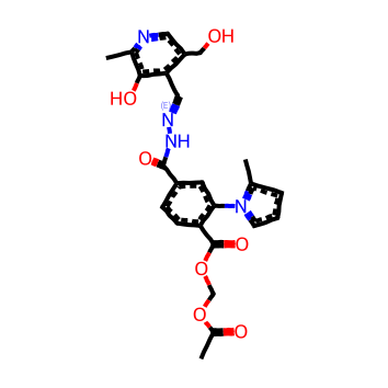 CC(=O)OCOC(=O)c1ccc(C(=O)N/N=C/c2c(CO)cnc(C)c2O)cc1-n1cccc1C